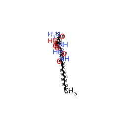 CCCCCCCCCCCCCC(=O)NCC(=O)NCC(=O)N[C@@H](CCC(N)=O)C(=O)O